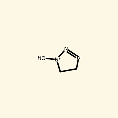 O[N+]1CCN=N1